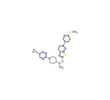 CSc1ccc(-c2ccc3nc(OC(C)C4CCN(c5ncc(C6CC6)cn5)CC4)sc3n2)cn1